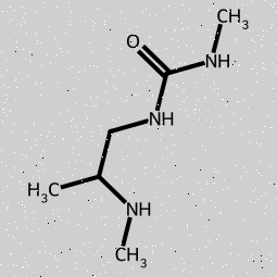 CNC(=O)NCC(C)NC